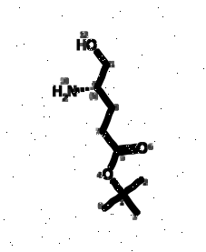 CC(C)(C)OC(=O)CC[C@H](N)CO